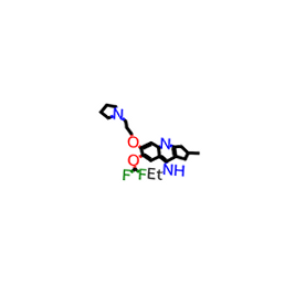 CCNc1c2c(nc3cc(OCCCN4CCCC4)c(OC(F)F)cc13)CC(C)C2